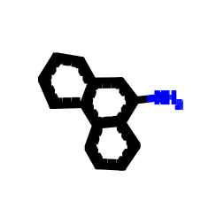 Nc1cc2ccccc2c2ccccc12